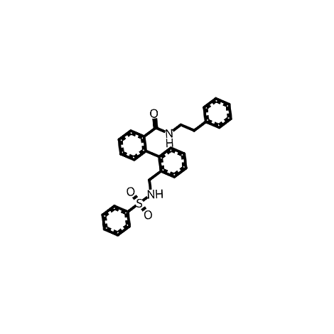 O=C(NCCc1ccccc1)c1ccccc1-c1ccccc1CNS(=O)(=O)c1ccccc1